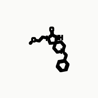 COCCN1CC2(CCN(Cc3ccccc3)CC2)NC1=O